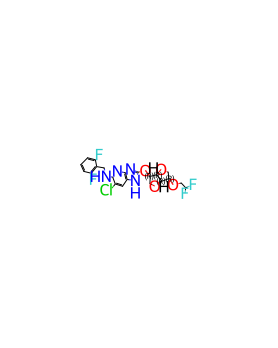 Fc1cccc(F)c1CNc1nc2nc(O[C@@H]3CO[C@H]4[C@@H]3OC[C@H]4OCC(F)F)[nH]c2cc1Cl